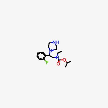 CCN(CC(c1ccccc1F)N1CCNCC1)C(=O)OC(C)C